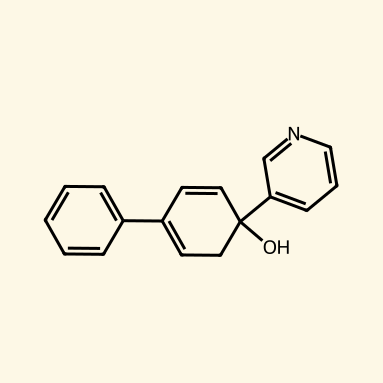 OC1(c2cccnc2)C=CC(c2ccccc2)=CC1